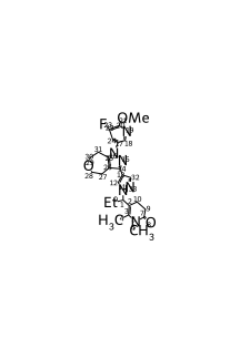 CCC(C1=C(C)N(C)C(=O)CC1)n1cc(-c2nn(-c3cnc(OC)c(F)c3)c3c2CCOCC3)cn1